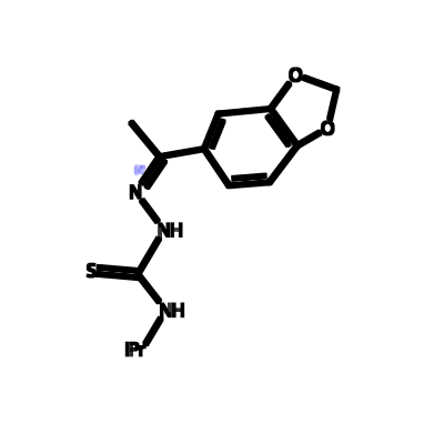 C/C(=N/NC(=S)NC(C)C)c1ccc2c(c1)OCO2